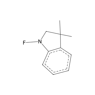 CC1(C)CN(F)c2ccccc21